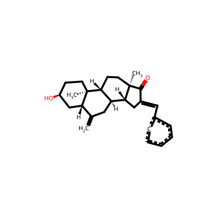 C=C1C[C@H]2[C@@H](CC[C@@]3(C)C(=O)C(=Cc4ccccc4)C[C@H]23)[C@]2(C)CC[C@H](O)C[C@@H]12